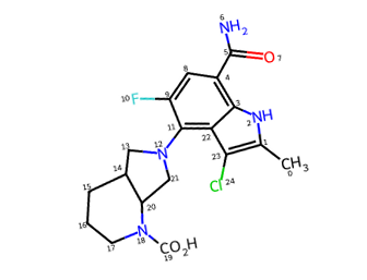 Cc1[nH]c2c(C(N)=O)cc(F)c(N3CC4CCCN(C(=O)O)C4C3)c2c1Cl